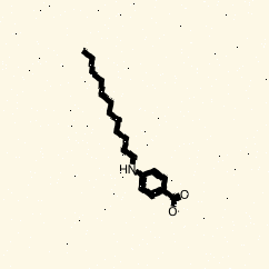 CCCCCCCCCCCCNc1ccc(C([O])=O)cc1